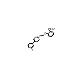 O=Cc1ccccc1OCCN1CC=C(c2cccc(F)c2)CC1